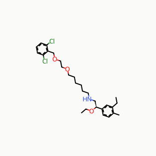 CCO[C@@H](CNCCCCCCOCCOCc1c(Cl)cccc1Cl)c1ccc(C)c(CC)c1